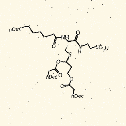 CCCCCCCCCCCCCCCC(=O)N[C@@H](CSC(CCOC(=O)CCCCCCCCCCC)OC(=O)CCCCCCCCCCC)C(=O)NCCS(=O)(=O)O